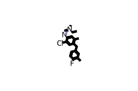 CCN(C)/C=N\c1cc(C)c(Cc2ccc(F)c(C)c2)cc1Cl